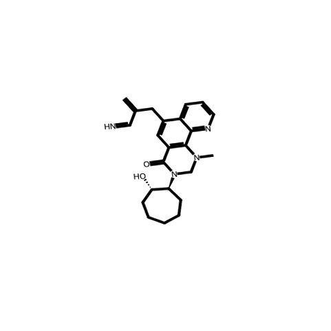 C=C(C=N)Cc1cc2c(c3ncccc13)N(C)CN([C@H]1CCCCC[C@@H]1O)C2=O